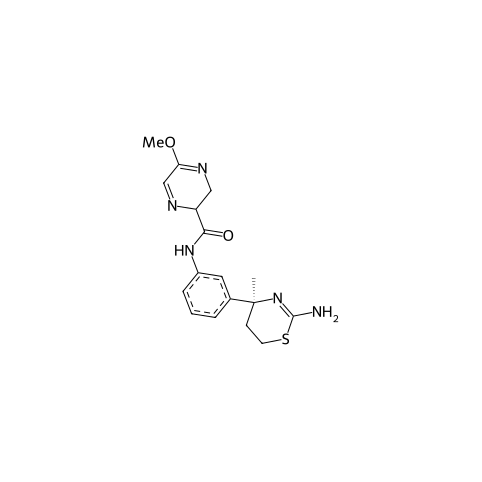 COC1=NCC(C(=O)Nc2cccc([C@]3(C)CCSC(N)=N3)c2)N=C1